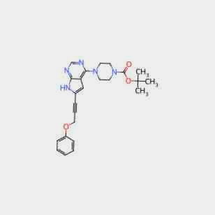 CC(C)(C)OC(=O)N1CCN(c2ncnc3[nH]c(C#CCOc4ccccc4)cc23)CC1